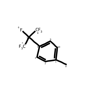 Cc1ccc(C(F)(C(F)(F)F)C(F)(F)F)cc1